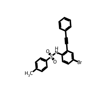 Cc1ccc(S(=O)(=O)Nc2ccc(Br)cc2C#Cc2ccccc2)cc1